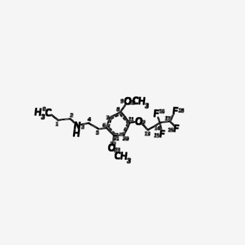 CCCNCCc1cc(OC)c(OCC(F)(F)C(F)F)cc1OC